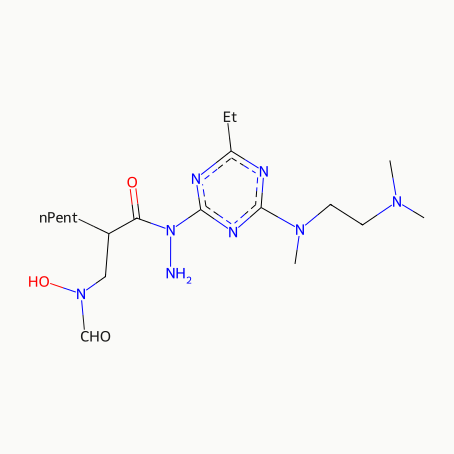 CCCCCC(CN(O)C=O)C(=O)N(N)c1nc(CC)nc(N(C)CCN(C)C)n1